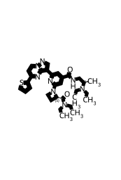 CCN(CC)C(=O)[C@@H]1CCN1c1cc(C(=O)NC[C@H](C)N(CC)CC)cc(-c2cnn3ccc(-c4cccs4)nc23)n1